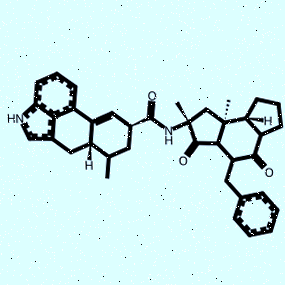 CC1C[C@H](C(=O)N[C@]2(C)C[C@]3(C)C(C2=O)C(Cc2ccccc2)C(=O)C2CCC[C@H]23)C=C2c3cccc4[nH]cc(c34)C[C@H]21